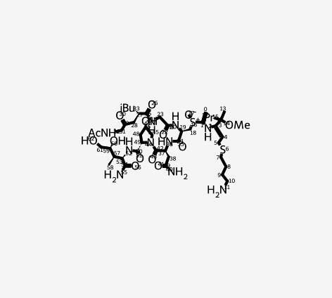 C=C(N/C(=C\CSCCCCN)C(C)(OC)C(C)C)[S+]([O-])C[C@H](NC(=O)CNC(=O)[C@@H](CC(=O)CNC(C)=O)[C@@H](C)CC)C(=O)N[C@@H](CC(N)=O)C(=O)N1C[C@H](O)C[C@H]1C(=O)N[C@H](C(N)=O)[C@@H](C)[C@@H](O)CO